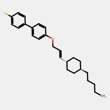 CCCCC[C@H]1CC[C@H](/C=C/COc2ccc(-c3ccc(F)cc3)cc2)CC1